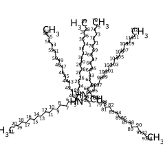 CC=C(NC(CCCCCCCCCCCCCCCCC)(CCCCCCCCCCCCCCCCCC)CCCCCCCCCCCCCCCCCC)NC(CCCCCCCCCCCCCCCCC)(CCCCCCCCCCCCCCCCCC)CCCCCCCCCCCCCCCCCC